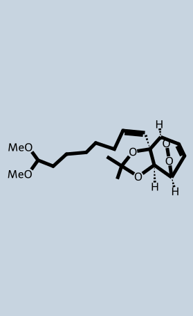 COC(CCCCC/C=C\[C@@]12OC(C)(C)O[C@@H]1[C@@H]1C=C[C@H]2OO1)OC